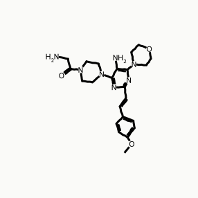 COc1ccc(C=Cc2nc(N3CCOCC3)c(N)c(N3CCN(C(=O)CN)CC3)n2)cc1